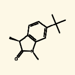 C[C@@H]1C(=O)N(C)c2cc(C(C)(C)C)ccc21